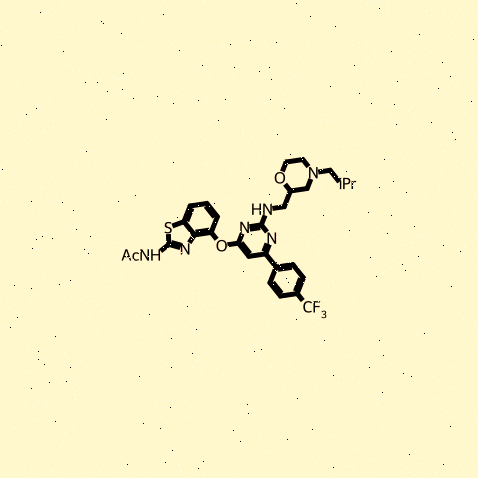 CC(=O)Nc1nc2c(Oc3cc(-c4ccc(C(F)(F)F)cc4)nc(NCC4CN(CC(C)C)CCO4)n3)cccc2s1